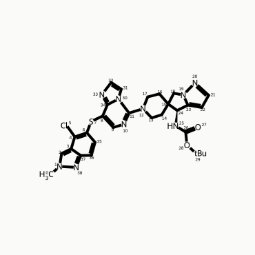 Cn1cc2c(Cl)c(Sc3cnc(N4CCC5(CC4)Cn4nccc4[C@H]5NC(=O)OC(C)(C)C)n4ccnc34)ccc2n1